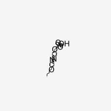 CCCCOc1ccc(N=Nc2ccc(OCC[Se](=O)(=O)O)cc2)cc1